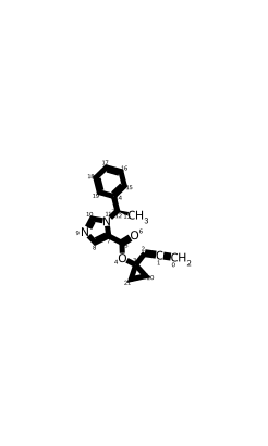 C=C=CC1(OC(=O)c2cncn2[C@H](C)c2ccccc2)CC1